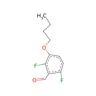 CCCCOc1ccc(F)c(C=O)c1F